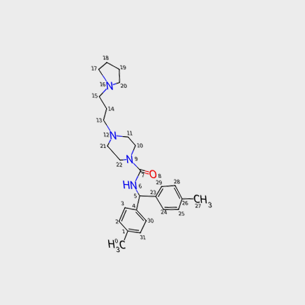 Cc1ccc(C(NC(=O)N2CCN(CCCN3CCCC3)CC2)c2ccc(C)cc2)cc1